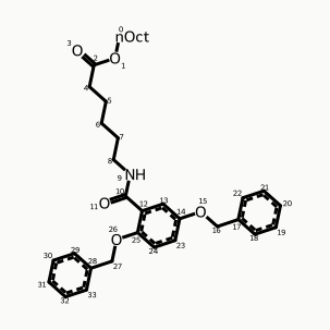 CCCCCCCCOC(=O)CCCCCNC(=O)c1cc(OCc2ccccc2)ccc1OCc1ccccc1